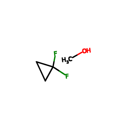 CO.FC1(F)CC1